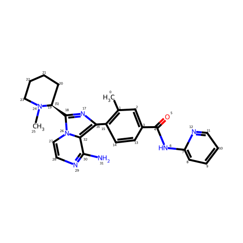 Cc1cc(C(=O)Nc2ccccn2)ccc1-c1nc([C@@H]2CCCCN2C)n2ccnc(N)c12